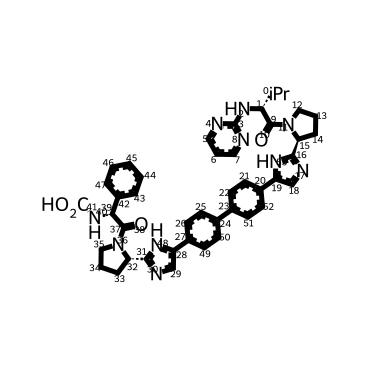 CC(C)[C@@H](Nc1ncccn1)C(=O)N1CCC[C@H]1c1ncc(-c2ccc(-c3ccc(-c4cnc([C@@H]5CCCN5C(=O)[C@H](NC(=O)O)c5ccccc5)[nH]4)cc3)cc2)[nH]1